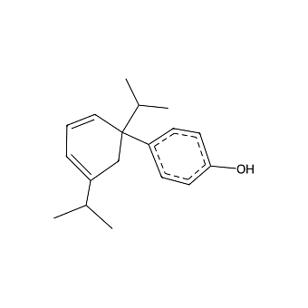 CC(C)C1=CC=CC(c2ccc(O)cc2)(C(C)C)C1